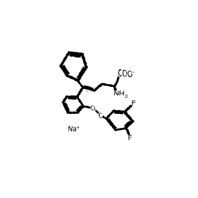 NC(C/C=C(\c1ccccc1)c1ccccc1OCc1cc(F)cc(F)c1)C(=O)[O-].[Na+]